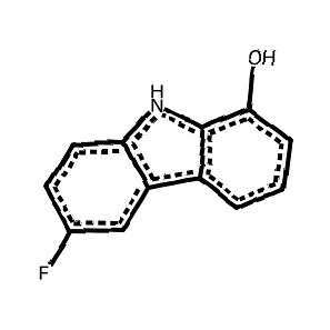 Oc1cccc2c1[nH]c1ccc(F)cc12